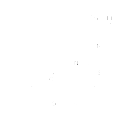 C=C(C)C(=O)OC(C)(C)CC(C)(C)Sc1ncc(C)c(OCC)n1